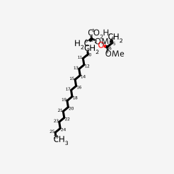 C=C(OC)C(=O)O.C=CC(=O)OC.[CH2]CCCCCCCCCCCCCCCCC